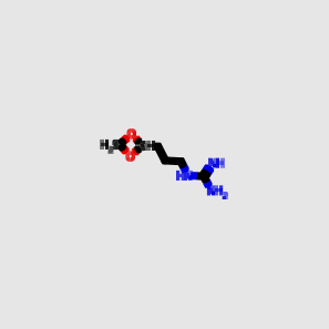 N=C(N)NCCC[SiH]1O[SiH2]O1